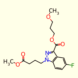 COCCCOC(=O)c1nn(CCCC(=O)OC)c2ccc(F)cc12